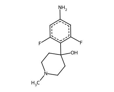 CN1CCC(O)(c2c(F)cc(N)cc2F)CC1